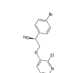 O[C@H](COc1cccnc1Cl)c1ccc(Br)cc1